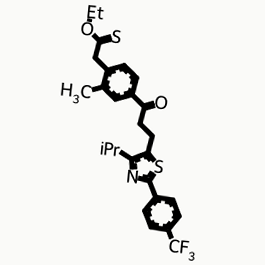 CCOC(=S)Cc1ccc(C(=O)CCc2sc(-c3ccc(C(F)(F)F)cc3)nc2C(C)C)cc1C